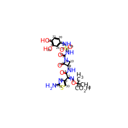 CC(C)(ON=C(C(=O)N[C@H]1CN(C(=O)NS(=O)(=O)Nc2ccc(O)c(O)c2)C1=O)c1csc(N)n1)C(=O)O